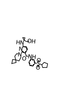 O=C(Nc1cccc(S(=O)(=O)C2CCCC2)c1)c1ccc(NC2(CO)CC2)nc1N1CCC2(CCC2)CC1